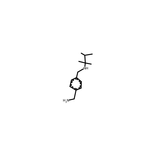 CC(C)C(C)(C)NCc1ccc(CN)cc1